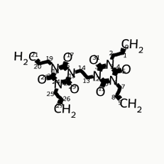 C=CCn1c(=O)n(CC=C)c(=O)n(CCn2c(=O)n(CC=C)c(=O)n(CC=C)c2=O)c1=O